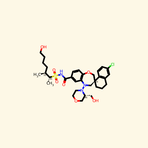 C[C@H]([C@@H](C)CCCCO)S(=O)(=O)NC(=O)c1ccc2c(c1)N(N1CCOC[C@H]1CO)C[C@@]1(CCCc3cc(Cl)ccc31)CO2